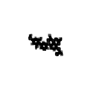 COc1cc(F)c(-c2cncc(O[C@@H]3SC[C@@H](OC(C)=O)[C@H](OC(C)=O)[C@H]3OC(C)=O)c2)c(F)c1